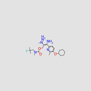 Cc1nc(/C(N)=C(\COC(=O)N(C)CC(C)(C)F)N(C)N)ccc1OC1CCCCC1